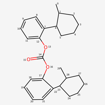 CC1CCCCC1c1ccccc1OC(=O)Oc1ccccc1C1CCCCC1C